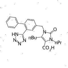 CCCCc1c(C(=O)O)n(CCC)c(=O)n1Cc1ccc(-c2ccccc2)c(-c2nnn[nH]2)c1